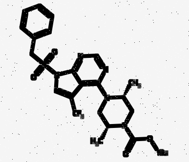 C[C@@H]1CN(c2ncnc3c2c(C(F)(F)F)cn3S(=O)(=O)Cc2ccccc2)[C@H](C)CN1C(=O)OC(C)(C)C